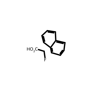 O=C(O)CF.c1ccc2ccccc2c1